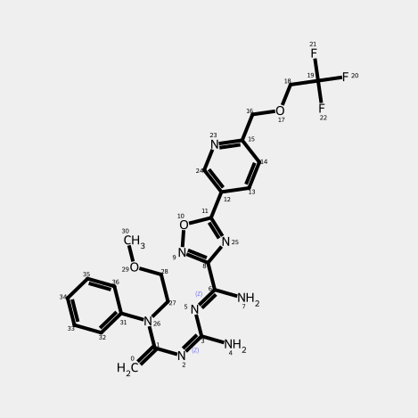 C=C(/N=C(N)\N=C(/N)c1noc(-c2ccc(COCC(F)(F)F)nc2)n1)N(CCOC)c1ccccc1